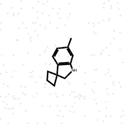 Cc1ccc2c(c1)NCC21CCC1